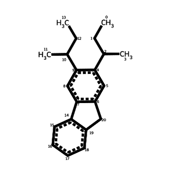 CCC(C)c1[c]c2c(cc1C(C)CC)-c1ccccc1C2